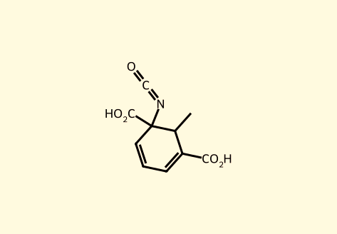 CC1C(C(=O)O)=CC=CC1(N=C=O)C(=O)O